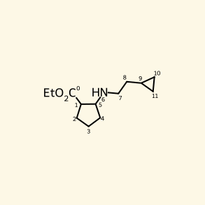 CCOC(=O)C1CCCC1NCCC1CC1